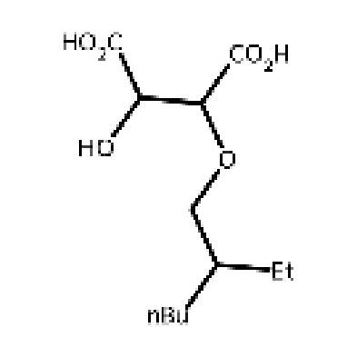 CCCCC(CC)COC(C(=O)O)C(O)C(=O)O